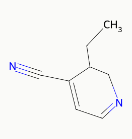 CCC1CN=CC=C1C#N